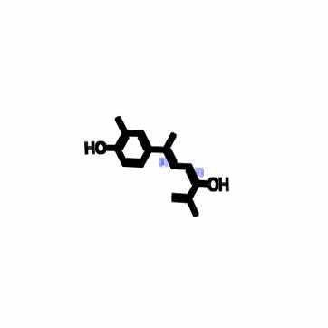 C=C(C)/C(O)=C\C=C(/C)c1ccc(O)c(C)c1